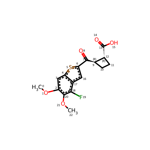 COc1cc2sc(C(=O)[C@@H]3CC[C@H]3C(=O)O)cc2c(F)c1OC